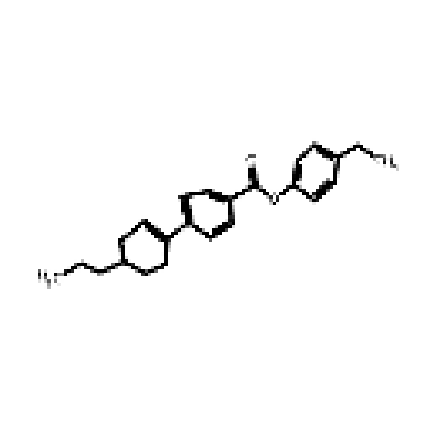 CCCC1CC=C(c2ccc(C(=O)Oc3ccc(CC)cc3)cc2)CC1